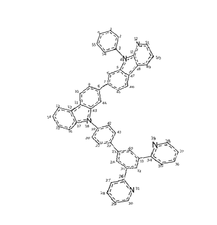 c1ccc(-n2c3cc(-c4ccc5c6ccccc6n(-c6ccc(-c7cc(-c8ccccn8)cc(-c8ccccn8)c7)cc6)c5c4)ccc3c3cccnc32)cc1